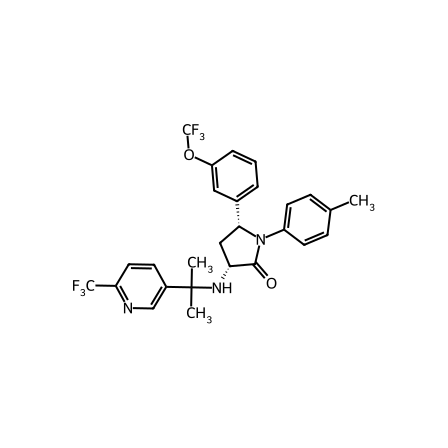 Cc1ccc(N2C(=O)[C@H](NC(C)(C)c3ccc(C(F)(F)F)nc3)C[C@@H]2c2cccc(OC(F)(F)F)c2)cc1